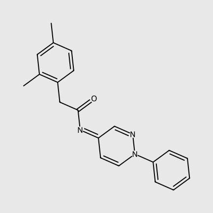 Cc1ccc(CC(=O)N=c2ccn(-c3ccccc3)nc2)c(C)c1